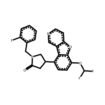 O=C1CC(c2ccc(OC(F)F)c3oc4ccncc4c23)CN1Cc1ccccc1F